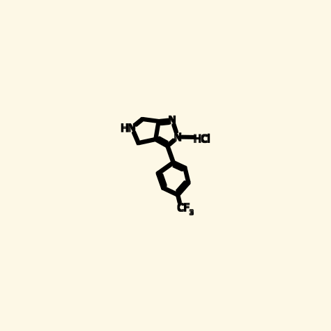 Cl.Cn1nc2c(c1-c1ccc(C(F)(F)F)cc1)CNC2